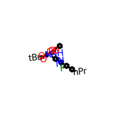 CCCc1ccc(-c2ccc(-c3cnc(-c4ccc(C[C@H](NC(=O)OCc5ccccc5)C(=O)N5CC(C(=O)OC(C)(C)C)C5)cc4)nc3)c(F)c2)cc1